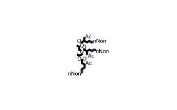 CCCCCCCCC/C=C/CC(CC(=O)OC(C)CN(CC(C)OC(=O)C(C/C=C/CCCCCCCCC)CC(C)=O)C(=O)C(C/C=C/CCCCCCCCC)CC(C)=O)C(C)=O